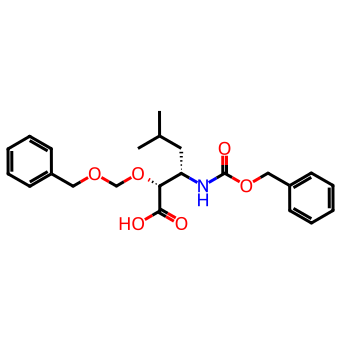 CC(C)C[C@H](NC(=O)OCc1ccccc1)[C@@H](OCOCc1ccccc1)C(=O)O